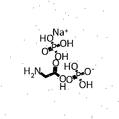 NCC(=O)O.O=P(O)(O)O.O=P([O-])(O)O.[Na+]